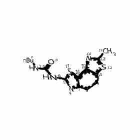 CCCCNC(=O)Nc1nc2ccc3sc(C)nc3c2s1